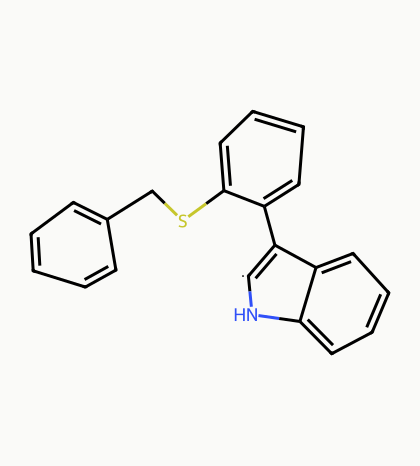 [c]1[nH]c2ccccc2c1-c1ccccc1SCc1ccccc1